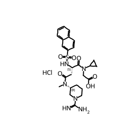 CN(C(=O)C[C@H](NS(=O)(=O)c1ccc2ccccc2c1)C(=O)N(CC(=O)O)C1CC1)[C@@H]1CCCN(C(=N)N)C1.Cl